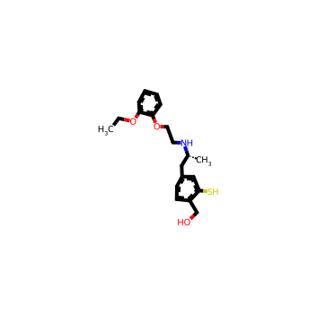 CCOc1ccccc1OCCN[C@H](C)Cc1ccc(CO)c(S)c1